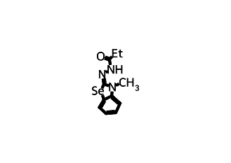 CCC(=O)NN=c1[se]c2ccccc2n1C